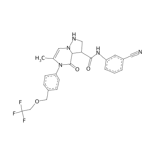 CC1=CN2NCC(C(=O)Nc3cccc(C#N)c3)C2C(=O)N1c1ccc(COCC(F)(F)F)cc1